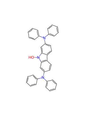 On1c2cc(N(c3ccccc3)c3ccccc3)ccc2c2ccc(N(c3ccccc3)c3ccccc3)cc21